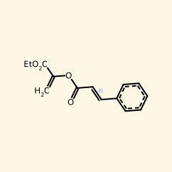 C=C(OC(=O)/C=C/c1ccccc1)C(=O)OCC